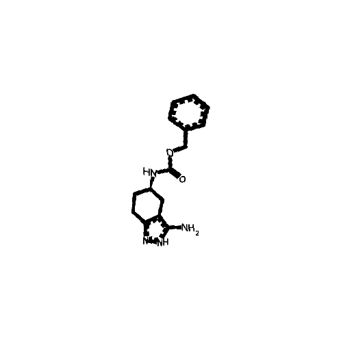 Nc1[nH]nc2c1C[C@H](NC(=O)OCc1ccccc1)CC2